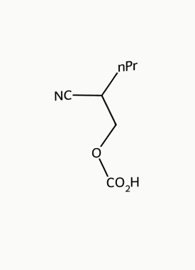 CCCC(C#N)COC(=O)O